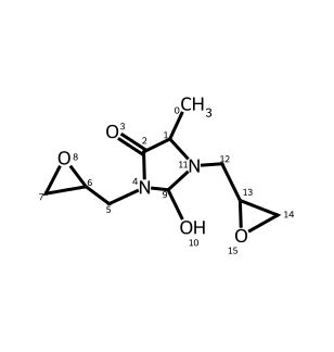 CC1C(=O)N(CC2CO2)C(O)N1CC1CO1